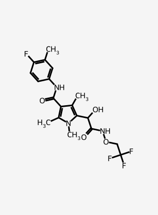 Cc1cc(NC(=O)c2c(C)c(C(O)C(=O)NOCC(F)(F)F)n(C)c2C)ccc1F